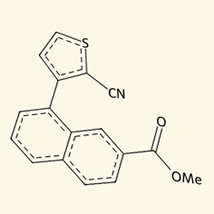 COC(=O)c1ccc2cccc(-c3ccsc3C#N)c2c1